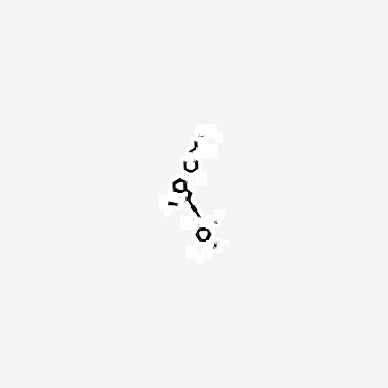 COCC(O)CN1CCC(Nc2cccc3c2cc(C#CCNc2ccc([S+](C)[O-])cc2OCF)n3CC(F)(F)F)CC1